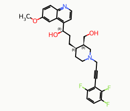 COc1ccc2nccc([C@H](O)CC[C@@H]3CCN(CC#Cc4c(F)ccc(F)c4F)C[C@@H]3CO)c2c1